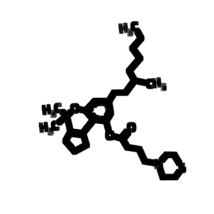 CCCCCC(C)CCc1cc(OC(=O)CCCN2CCSCC2)c2c(c1)OC(C)(C)C1=C2CCC1